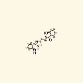 O=C(NCCC1CNC(c2ccccc2O)=N1)c1ccccc1O